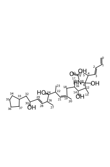 C=CC=CC(C)C(O)(NC(=O)O)C(C)C(O)C(C)CC(C)=CC(C)C(O)C(C)C=CC(O)CC1CCCC1